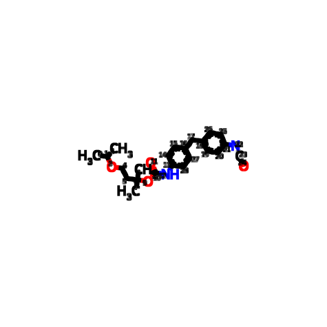 CC(C)OCCC(C)(C)OC(=O)Nc1ccc(Cc2ccc(N=C=O)cc2)cc1